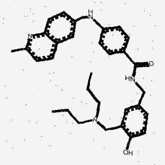 CCCN(CCC)Cc1cc(CNC(=O)c2ccc(Nc3ccc4nc(C)ccc4c3)cc2)ccc1O